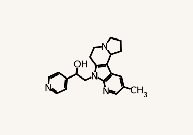 Cc1cnc2c(c1)c1c(n2CC(O)c2ccncc2)CCN2CCCC12